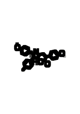 COc1ccc(C(Cc2cc(-c3ccc(C)cc3)n(-c3ccc(OC)cc3)n2)C(=O)O)cc1